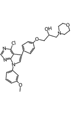 COc1cccc(-n2cc(-c3ccc(OCC(O)CN4CCOCC4)cc3)c3c(Cl)ncnc32)c1